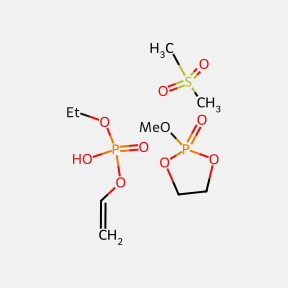 C=COP(=O)(O)OCC.COP1(=O)OCCO1.CS(C)(=O)=O